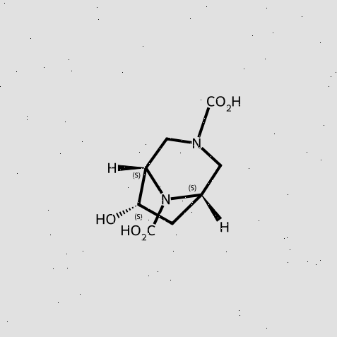 O=C(O)N1C[C@@H]2C[C@H](O)[C@H](C1)N2C(=O)O